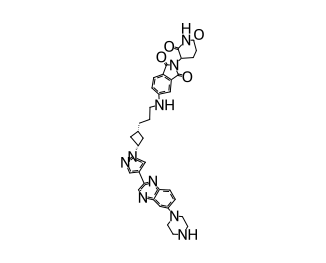 O=C1CCC(N2C(=O)c3ccc(NCCC[C@H]4C[C@@H](n5cc(-c6cnc7cc(N8CCNCC8)ccc7n6)cn5)C4)cc3C2=O)C(=O)N1